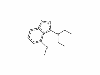 CCN(CC)c1nsc2cccc(OC)c12